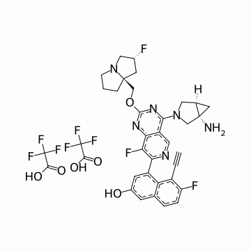 C#Cc1c(F)ccc2cc(O)cc(-c3ncc4c(N5C[C@H]6C[C@@]6(N)C5)nc(OC[C@@]56CCCN5C[C@H](F)C6)nc4c3F)c12.O=C(O)C(F)(F)F.O=C(O)C(F)(F)F